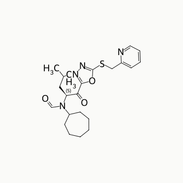 CC(C)C[C@@H](C(=O)c1nnc(SCc2ccccn2)o1)N(C=O)C1CCCCCC1